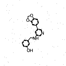 Oc1cccc(CNc2cncc(-c3ccc4c(c3)OCO4)c2)c1